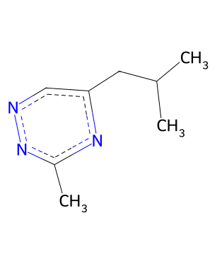 Cc1nncc(CC(C)C)n1